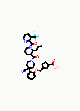 CCCC1C(C(=O)N2CCC(C#N)(c3ccccc3OCC3CCC(C(=O)O)C3)CC2)CCCN1C(=O)c1ncccc1C(F)(F)F